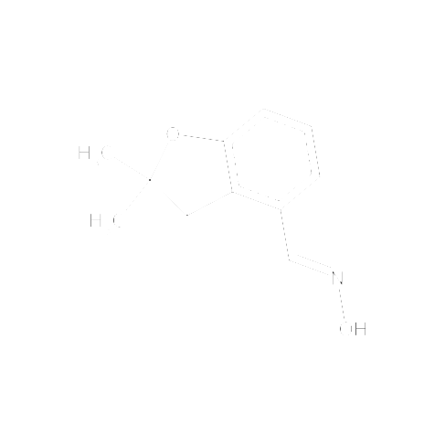 CC1(C)Cc2c(C=NO)cccc2O1